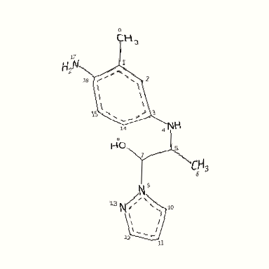 Cc1cc(NC(C)C(O)n2cccn2)ccc1N